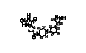 CC(C[C@H]1NC(=O)NC1=O)C(=O)N1CCN(c2cccc(-c3cn[nH]c3)c2)CC1